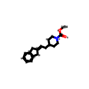 CC(C)(C)OC(=O)N1CCC(CC=C2Cc3ccccc3C2)CC1